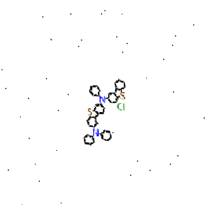 Clc1cc(N(c2ccccc2)c2ccc3c(c2)sc2ccc(N(c4ccccc4)c4ccccc4)cc23)cc2c1sc1ccccc12